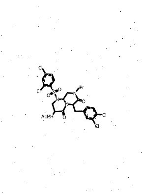 CC(=O)NC1CN(S(=O)(=O)c2ccc(Cl)cc2Cl)C2CN(C(C)C)C(=O)C(Cc3ccc(Cl)c(Cl)c3)N2C1=O